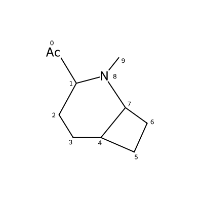 CC(=O)C1CCC2CCC2N1C